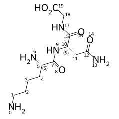 NCCCC[C@H](N)C(=O)N[C@@H](CC(N)=O)C(=O)NCC(=O)O